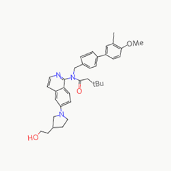 COc1ccc(-c2ccc(CN(C(=O)CC(C)(C)C)c3nccc4cc(N5CCC(CCO)C5)ccc34)cc2)cc1C